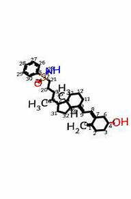 C=C1CC[C@H](O)C/C1=C/C=C1\CCC[C@]2(C)C([C@@H](C)CCCS(=N)(=O)c3ccccc3)CC[C@@H]12